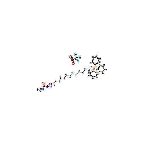 NC(=O)NOCCCCCCCCCCCCCC[P+](c1ccccc1)(c1ccccc1)c1ccccc1.O=C([O-])C(F)(F)F